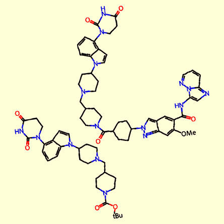 CC(C)(C)OC(=O)N1CCC(CN2CCC(n3ccc4c(N5CCC(=O)NC5=O)cccc43)CC2)CC1.COc1cc2nn(C3CCC(C(=O)N4CCC(CN5CCC(n6ccc7c(N8CCC(=O)NC8=O)cccc76)CC5)CC4)CC3)cc2cc1C(=O)Nc1cnc2cccnn12